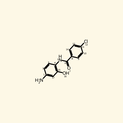 Nc1ccc(NC(=O)c2ccc(Cl)cc2)c(O)c1